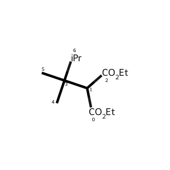 CCOC(=O)C(C(=O)OCC)C(C)(C)C(C)C